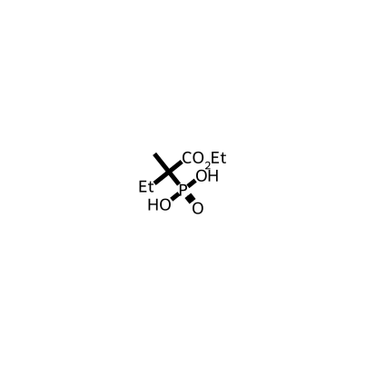 CCOC(=O)C(C)(CC)P(=O)(O)O